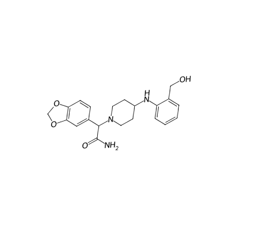 NC(=O)C(c1ccc2c(c1)OCO2)N1CCC(Nc2ccccc2CO)CC1